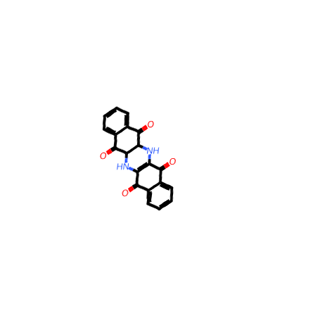 O=C1C2=C(NC3C(=O)c4ccccc4C(=O)C3N2)C(=O)c2ccccc21